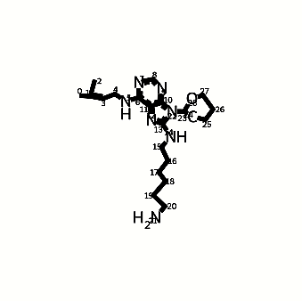 CC(C)=CCNc1ncnc2c1nc(NCCCCCCN)n2C1CCCCO1